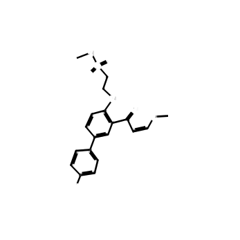 CN/C=C\C(=N)c1cc(-c2ccc(F)cc2)ccc1NCCS(=O)(=O)NC